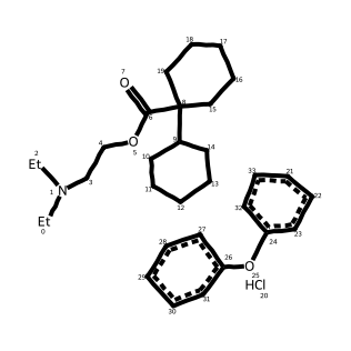 CCN(CC)CCOC(=O)C1(C2CCCCC2)CCCCC1.Cl.c1ccc(Oc2ccccc2)cc1